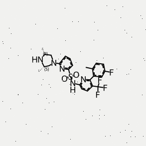 Cc1ccc(F)cc1-c1nc(NS(=O)(=O)c2cccc(N3C[C@@H](C)N[C@@H](C)C3)n2)ccc1C(F)(F)F